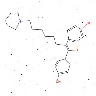 Oc1ccc(-c2oc3cc(O)ccc3c2CCCCCCN2CCCCC2)cc1